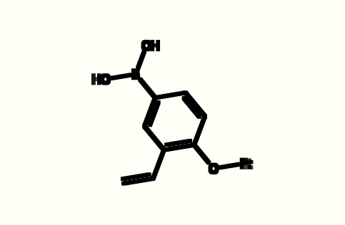 C=Cc1cc(B(O)O)ccc1OCC